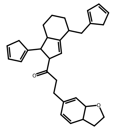 O=C(CCC1=CC2OCCC2C=C1)C1C=C2C(CC3=CC=CC3)CCCC2C1C1=CC=CC1